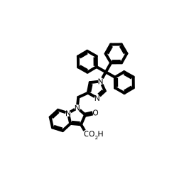 O=C(O)c1c(=O)n(Cc2cn(C(c3ccccc3)(c3ccccc3)c3ccccc3)cn2)n2ccccc12